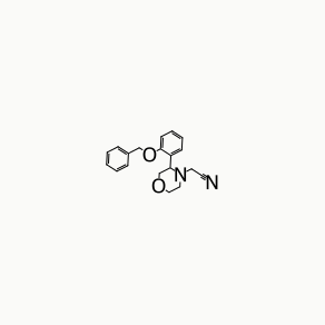 N#CCN1CCOCC1c1ccccc1OCc1ccccc1